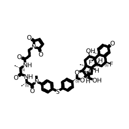 C[C@H](NC(=O)CCN1C(=O)C=CC1=O)C(=O)N[C@@H](C)C(=O)N(C)c1ccc(Sc2ccc([C@H]3O[C@@H]4C[C@H]5[C@@H]6C[C@H](F)C7=CC(=O)C=C[C@]7(C)[C@@]6(F)[C@@H](O)C[C@]5(C)[C@]4(C(=O)CO)O3)cc2)cc1